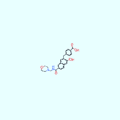 O=C(O)c1ccc(Cc2cc3cc(C(=O)NCN4CCOCC4)ccc3cc2O)cc1